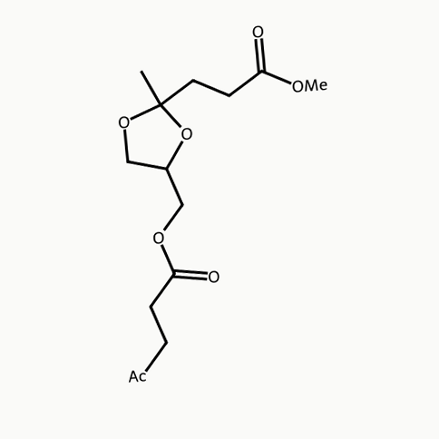 COC(=O)CCC1(C)OCC(COC(=O)CCC(C)=O)O1